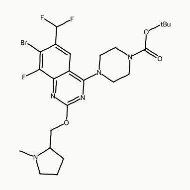 CN1CCCC1COc1nc(N2CCN(C(=O)OC(C)(C)C)CC2)c2cc(C(F)F)c(Br)c(F)c2n1